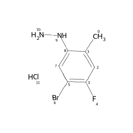 Cc1cc(F)c(Br)cc1NN.Cl